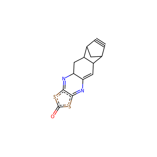 O=c1sc2c(s1)=NC1CC3C4C#CC(C4)C3C=C1N=2